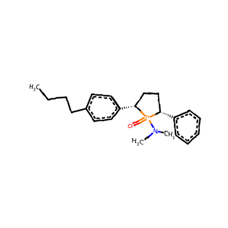 CCCCc1ccc([C@@H]2CC[C@H](c3ccccc3)P2(=O)N(C)C)cc1